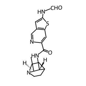 C[C@H]1[C@H](NC(=O)c2cc3sc(NC=O)cc3cn2)C2CCN1CC2